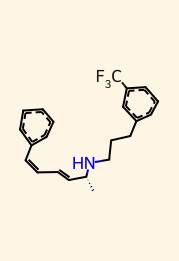 C[C@H](/C=C/C=C\c1ccccc1)NCCCc1cccc(C(F)(F)F)c1